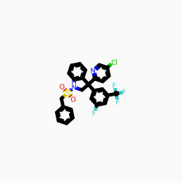 O=S(=O)(Cc1ccccc1)NCC(c1ccccc1)(c1cc(F)cc(C(F)(F)F)c1)c1ccc(Cl)cn1